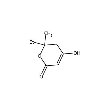 CCC1(C)CC(O)=CC(=O)O1